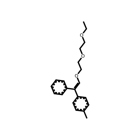 CCOCCOCCO/C=C(\c1ccccc1)c1ccc(C)cc1